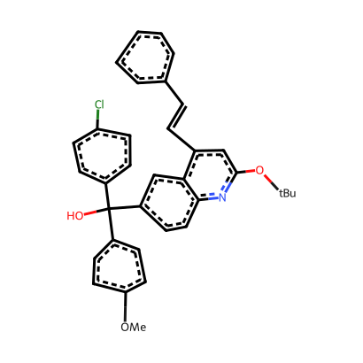 COc1ccc(C(O)(c2ccc(Cl)cc2)c2ccc3nc(OC(C)(C)C)cc(C=Cc4ccccc4)c3c2)cc1